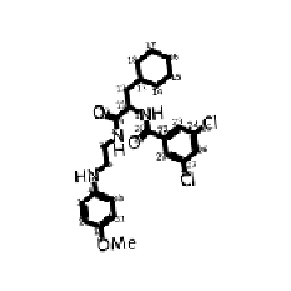 COc1ccc(NCCNC(=O)C(CC2CCCCC2)NC(=O)c2cc(Cl)cc(Cl)c2)cc1